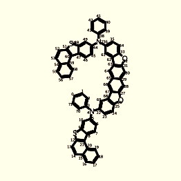 c1ccc(N(c2ccc3c(c2)sc2ccc4ccccc4c23)c2ccc3oc4cc5cc6oc7ccc(N(c8ccccc8)c8ccc9c(c8)sc8ccc%10ccccc%10c89)cc7c6cc5cc4c3c2)cc1